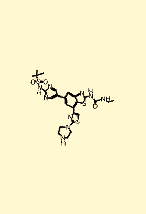 CCNC(=O)Nc1nc2cc(-c3cnc(NS(=O)(=O)C(C)(C)C)nc3)cc(-c3csc(N4CCNCC4)n3)c2s1